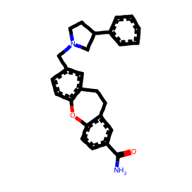 NC(=O)c1ccc2c(c1)CCc1cc(CN3CCC(c4ccccc4)C3)ccc1O2